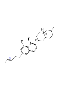 C/C=C/CCc1cc(F)c2c(F)c([C@@H]3CC[C@@H]4CC(C)CCC4C3)ccc2c1